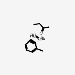 CCC(C)=O.CCCCO.Cc1ccccc1